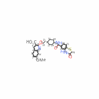 COc1ccc2cc(C(=O)O)c(OCC[C@H]3CC[C@H](NC(=O)c4ccc5c(c4)NC(=O)CS5)CC3)nc2c1